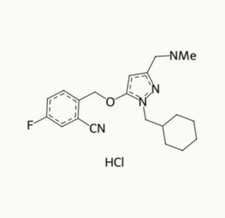 CNCc1cc(OCc2ccc(F)cc2C#N)n(CC2CCCCC2)n1.Cl